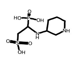 O=P(O)(O)C(CS(=O)(=O)O)NC1CCCNC1